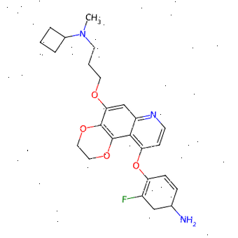 CN(CCCOc1cc2nccc(OC3=C(F)CC(N)C=C3)c2c2c1OCCO2)C1CCC1